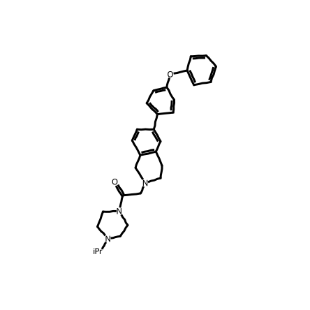 CC(C)N1CCN(C(=O)CN2CCc3cc(-c4ccc(Oc5ccccc5)cc4)ccc3C2)CC1